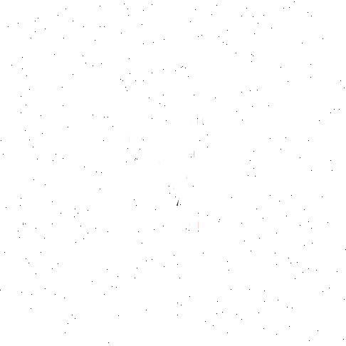 C#C[C@@H](C)[C@H]1CC[C@H]2[C@@H](O)CCC[C@]12C